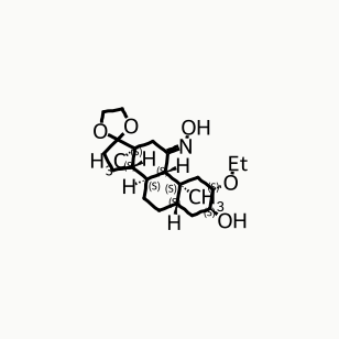 CCO[C@H]1C[C@@]2(C)[C@@H](CC[C@@H]3[C@@H]2C(=NO)C[C@@]2(C)[C@H]3CCC23OCCO3)C[C@@H]1O